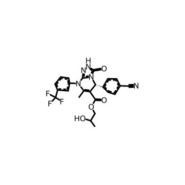 CC1=C(C(=O)OCC(C)O)[C@@H](c2ccc(C#N)cc2)n2c(n[nH]c2=O)N1c1cccc(C(F)(F)F)c1